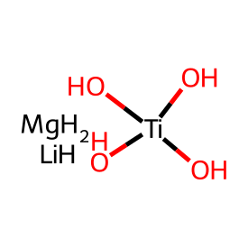 [LiH].[MgH2].[OH][Ti]([OH])([OH])[OH]